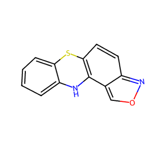 c1ccc2c(c1)Nc1c(ccc3nocc13)S2